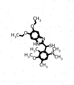 CCOc1cc2nc(C(S)c3c(N(C)C)cc(C)c(OC)c3C)[nH]c2cc1OCC